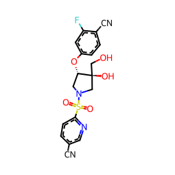 N#Cc1ccc(S(=O)(=O)N2C[C@H](Oc3ccc(C#N)c(F)c3)[C@](O)(CO)C2)nc1